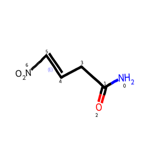 NC(=O)C/C=C/[N+](=O)[O-]